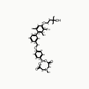 Cc1cc(OCCC(C)(C)O)c(F)c(C)c1-c1cccc(COc2ccc(B3OC(=O)CN(C)CC(=O)O3)cc2)c1